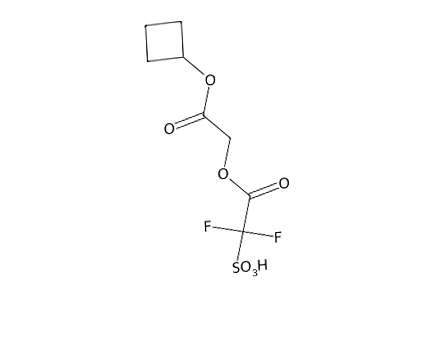 O=C(COC(=O)C(F)(F)S(=O)(=O)O)OC1CCC1